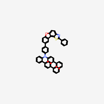 c1ccc(-c2ccc(-c3ccccc3N(c3ccc(-c4ccccc4)cc3)c3ccc(-c4ccc5oc6ccc7nc(-c8ccccc8)sc7c6c5c4)cc3)cc2)cc1